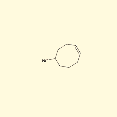 [Ni+][CH]1CCC=CCCC1